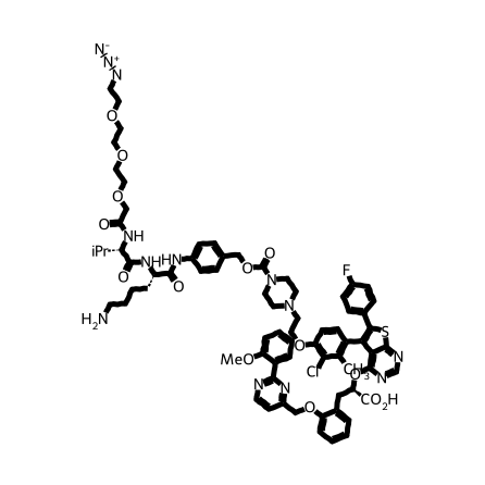 COc1ccccc1-c1nccc(COc2ccccc2C[C@@H](Oc2ncnc3sc(-c4ccc(F)cc4)c(-c4ccc(OCCN5CCN(C(=O)OCc6ccc(NC(=O)[C@H](CCCCN)NC(=O)[C@@H](NC(=O)COCCOCCOCCN=[N+]=[N-])C(C)C)cc6)CC5)c(Cl)c4C)c23)C(=O)O)n1